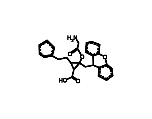 NCC(=O)OC1(CC2c3ccccc3Oc3ccccc32)C(CCc2ccccc2)C1C(=O)O